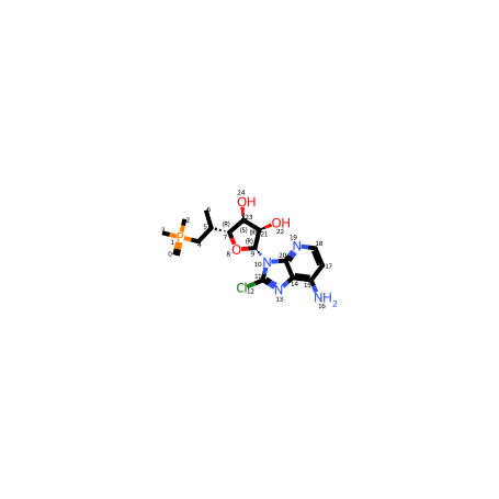 C=P(C)(C)CC(C)[C@H]1O[C@@H](n2c(Cl)nc3c(N)ccnc32)[C@H](O)[C@@H]1O